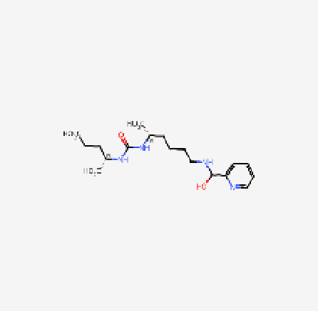 O=C(O)CC[C@H](NC(=O)N[C@@H](CCCCNC(O)c1ccccn1)C(=O)O)C(=O)O